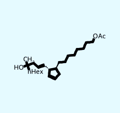 CCCCCCC(C)(O)C/C=C/[C@H]1C=CC[C@@H]1CCCCCCCCOC(C)=O